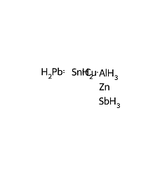 [AlH3].[Cu].[PbH2].[SbH3].[SnH2].[Zn]